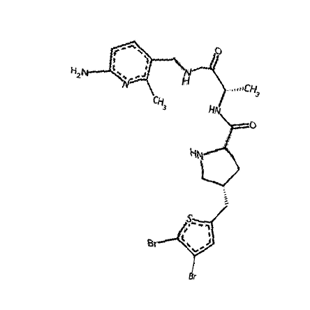 Cc1nc(N)ccc1CNC(=O)[C@H](C)NC(=O)C1C[C@H](Cc2cc(Br)c(Br)s2)CN1